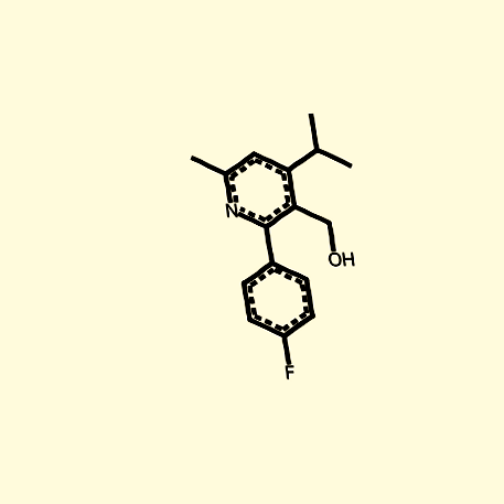 Cc1cc(C(C)C)c(CO)c(-c2ccc(F)cc2)n1